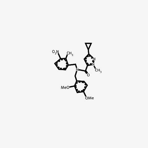 COc1ccc(CN(Cc2cccc([N+](=O)[O-])c2C)C(=O)c2cc(C3CC3)nn2C)c(OC)c1